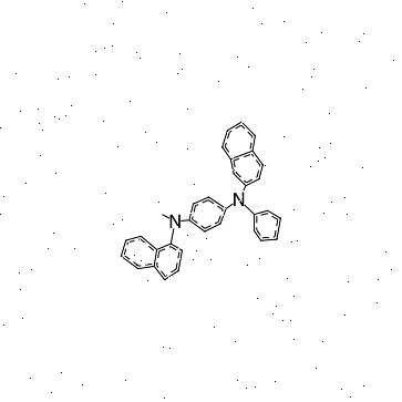 CN(c1ccc(N(c2ccccc2)c2ccc3ccccc3c2)cc1)c1cccc2ccccc12